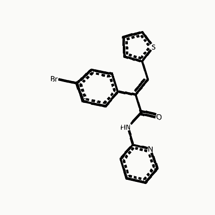 O=C(Nc1ccccn1)C(=Cc1cccs1)c1ccc(Br)cc1